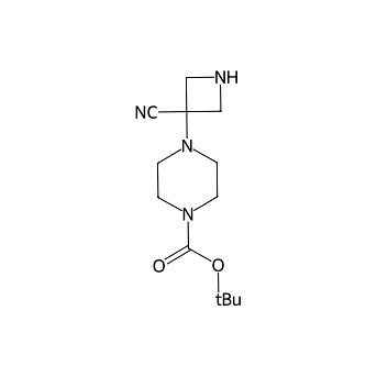 CC(C)(C)OC(=O)N1CCN(C2(C#N)CNC2)CC1